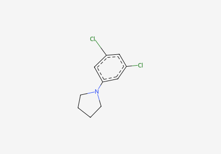 Clc1cc(Cl)cc(N2CCCC2)c1